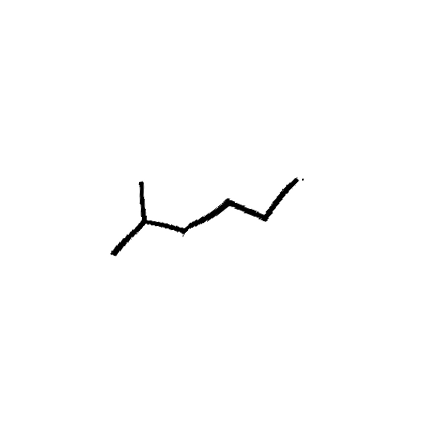 [CH2]CC[CH]C(C)C